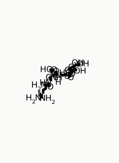 NC(N)=NCCCC(N)C(=O)NCC(=O)N[C@@H](CC(=O)O)C(=O)NCCCOP(=O)(O)OC1=C(O)C([C@@H](O)CO)OC1=O